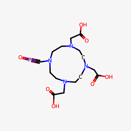 O=P#CN1CCN(CC(=O)O)CCN(CC(=O)O)CCN(CC(=O)O)CC1